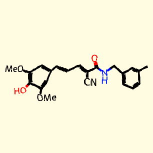 COc1cc(/C=C/C=C(\C#N)C(=O)NCc2cccc(C)c2)cc(OC)c1O